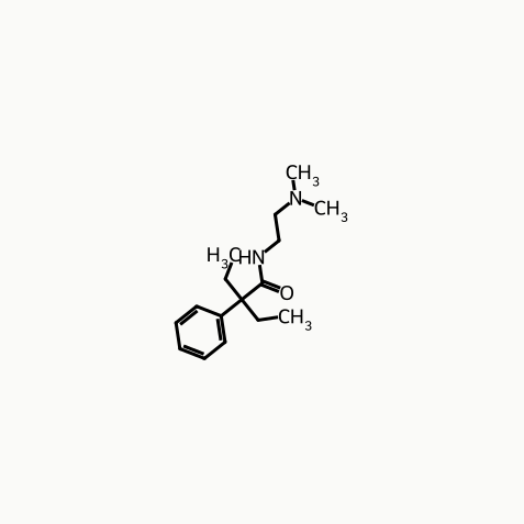 CCC(CC)(C(=O)NCCN(C)C)c1ccccc1